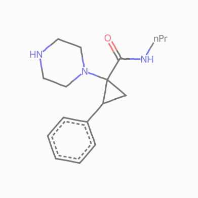 CCCNC(=O)C1(N2CCNCC2)CC1c1ccccc1